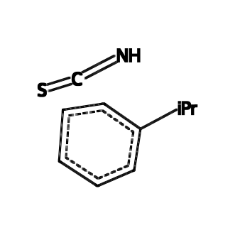 CC(C)c1ccccc1.N=C=S